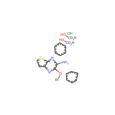 CCOc1nc2ccsc2nc1N.Cl.O=C(O)O.O=C(O)O.c1ccccc1.c1ccccc1